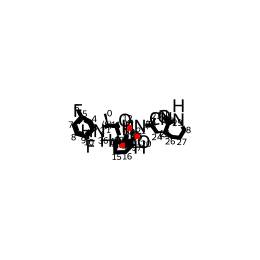 C[C@H](Nc1cc(F)ccc1F)C(=O)N1[C@@H]2CC[C@H]([C@H]1C(=O)N[C@@H](C#N)C[C@@H]1CCCNC1=O)C(F)(F)C2